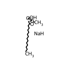 CCCCCCCCCCCCCCC(CS(=O)(=O)O)OCC.[NaH]